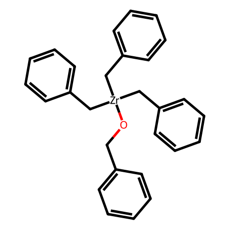 c1ccc(C[O][Zr]([CH2]c2ccccc2)([CH2]c2ccccc2)[CH2]c2ccccc2)cc1